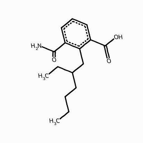 CCCCC(CC)Cc1c(C(N)=O)cccc1C(=O)O